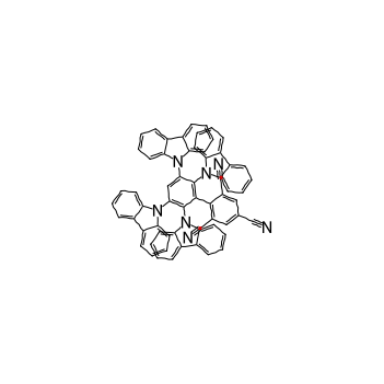 N#Cc1cc(C#N)c(-c2c(-n3c4ccccc4c4ccccc43)c(-n3c4ccccc4c4ccccc43)cc(-n3c4ccccc4c4ccccc43)c2-n2c3ccccc3c3ccccc32)c(C#N)c1